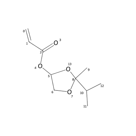 C=CC(=O)OC1COC(C)(C(C)C)O1